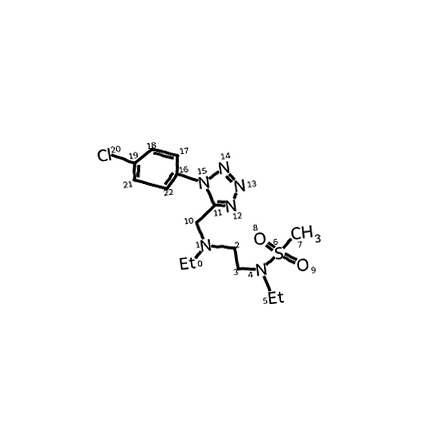 CCN(CCN(CC)S(C)(=O)=O)Cc1nnnn1-c1ccc(Cl)cc1